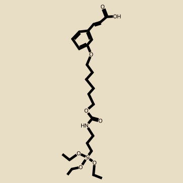 CCO[Si](CCCNC(=O)OCCCCCCOc1cccc(C=CC(=O)O)c1)(OCC)OCC